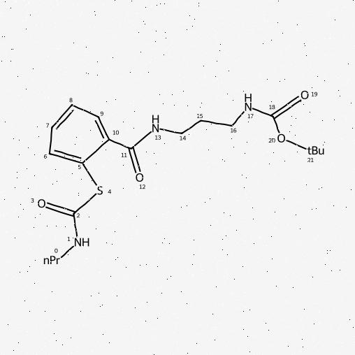 CCCNC(=O)Sc1ccccc1C(=O)NCCCNC(=O)OC(C)(C)C